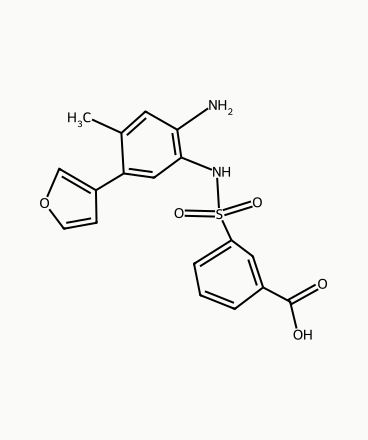 Cc1cc(N)c(NS(=O)(=O)c2cccc(C(=O)O)c2)cc1-c1ccoc1